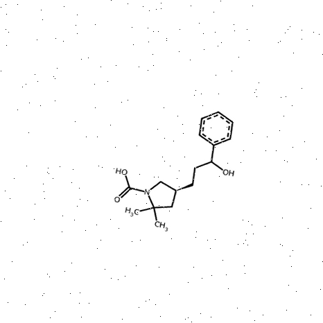 CC1(C)C[C@H](CCC(O)c2ccccc2)CN1C(=O)O